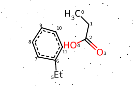 CCC(=O)O.CCc1ccccc1